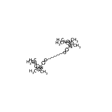 CCN(CC)C(=O)Cc1c(-c2ccc(OCCCCCCCCCCCCOc3ccc(-c4nc5c(C)cc(C)nn5c4CC(=O)N(CC)CC)cc3)cc2)nn2c(C)cc(C)nc12